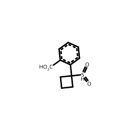 O=C(O)c1ccccc1C1([SH](=O)=O)CCC1